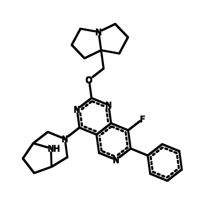 Fc1c(-c2ccccc2)ncc2c(N3CC4CCC(C3)N4)nc(OCC34CCCN3CCC4)nc12